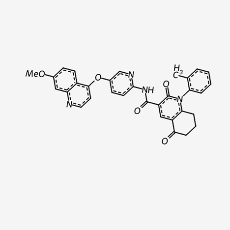 COc1ccc2c(Oc3ccc(NC(=O)c4cc5c(n(-c6ccccc6C)c4=O)CCCC5=O)nc3)ccnc2c1